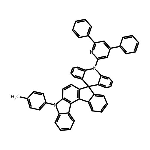 Cc1ccc(-n2c3ccccc3c3c4c(ccc32)C2(c3ccccc3-4)c3ccccc3N(c3cc(-c4ccccc4)cc(-c4ccccc4)n3)c3ccccc32)cc1